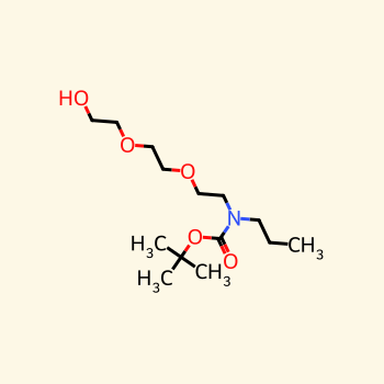 CCCN(CCOCCOCCO)C(=O)OC(C)(C)C